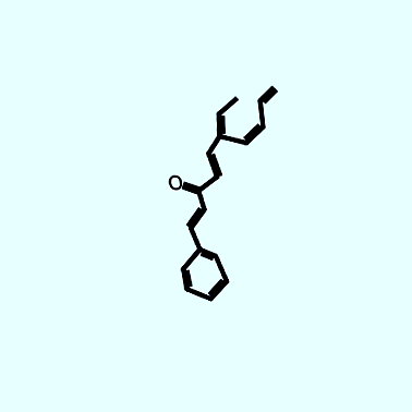 C=C\C=C/C(/C=C/C(=O)/C=C/c1ccccc1)=C\C